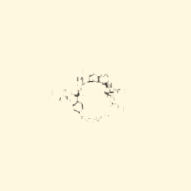 CCC12CCCCCCCc3ccc4c(c3)OC(C)(C)C[C@@H]4NC(O)c3ccc4c(c3)[C@@H](CCO4)N(C(=N)N1)C(=O)C2